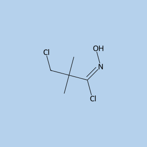 CC(C)(CCl)/C(Cl)=N\O